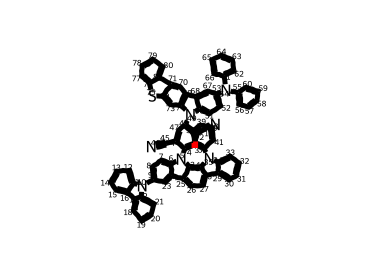 N#Cc1cc(-n2c3ccc(-n4c5ccccc5c5ccccc54)cc3c3ccc4c5ccccc5n(-c5ccccc5)c4c32)c(C#N)cc1-n1c2ccc(N(c3ccccc3)c3ccccc3)cc2c2cc3c(cc21)sc1ccccc13